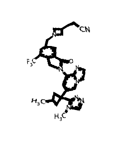 CC1CC(c2cc(N3Cc4c(cc(CN5CC(CC#N)C5)cc4C(F)(F)F)C3=O)c3nccn3c2)(c2nncn2C)C1